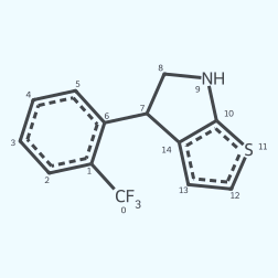 FC(F)(F)c1ccccc1C1CNc2sccc21